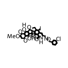 COC1=CC(=O)c2c(O)c3c(c(O)c2C1=O)C(=O)[C@]1(CCc2c1c(O)c1c(=O)[nH]c(/C=N/OCc4cccc(Cl)c4)cc1c2I)C3=O